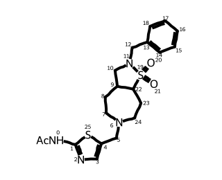 CC(=O)Nc1ncc(CN2CCC3CN(Cc4ccccc4)S(=O)(=O)C3CC2)s1